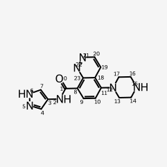 O=C(Nc1cn[nH]c1)c1ccc(N2CCNCC2)c2ccnnc12